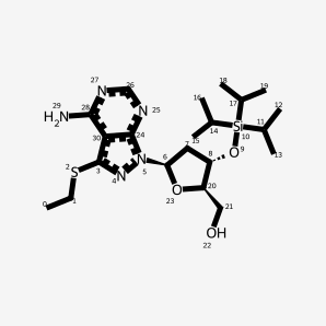 CCSc1nn([C@H]2C[C@H](O[Si](C(C)C)(C(C)C)C(C)C)[C@@H](CO)O2)c2ncnc(N)c12